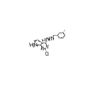 Cc1cccc(C=NNc2nc(Cl)nc3[nH]ccc23)c1